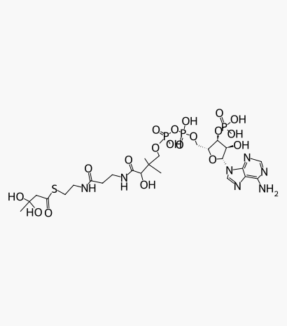 CC(O)(O)CC(=O)SCCNC(=O)CCNC(=O)C(O)C(C)(C)COP(=O)(O)OP(=O)(O)OC[C@H]1O[C@@H](n2cnc3c(N)ncnc32)[C@H](O)[C@@H]1OP(=O)(O)O